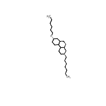 CCCCCCC[C@H]1CCC2C(CCC3C[C@@H](OCCCCCC)CCC32)C1